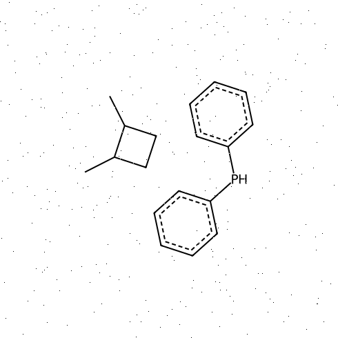 CC1CCC1C.c1ccc(Pc2ccccc2)cc1